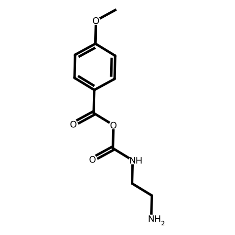 COc1ccc(C(=O)OC(=O)NCCN)cc1